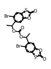 CC(OC(=O)OC(C)c1cc2oc(=O)sc2cc1Br)c1cc2oc(=O)sc2cc1Br